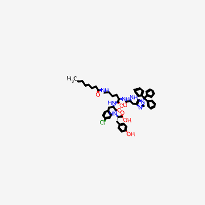 CCCCCCCC(=O)NCCCCC(NC(=O)C(N)Cc1cn(C(c2ccccc2)(c2ccccc2)c2ccccc2)cn1)C(=O)NC(Cc1ccc(Cl)cc1)C(=O)N[C@@H](Cc1ccc(O)cc1)C(=O)O